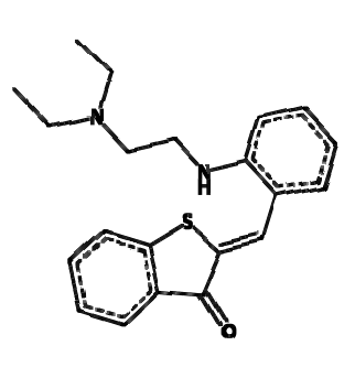 CCN(CC)CCNc1ccccc1C=C1Sc2ccccc2C1=O